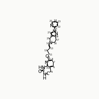 O=C1NCCC2=CCC=C(OCC/C=C/N3CCc4nn(-c5ccccn5)cc4C3)N=C2N1